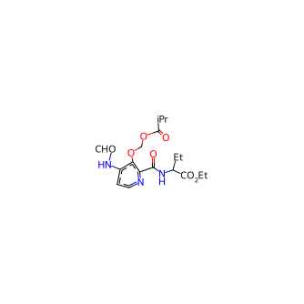 CCOC(=O)C(CC)NC(=O)c1nccc(NC=O)c1OCOC(=O)C(C)C